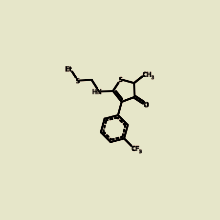 CCSCNC1=C(c2cccc(C(F)(F)F)c2)C(=O)C(C)S1